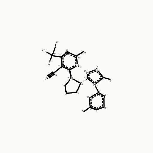 Cc1cccc(-n2c(C)nnc2[C@@H]2CCCN2c2nc(C)cc(C(F)(F)F)c2C#N)c1